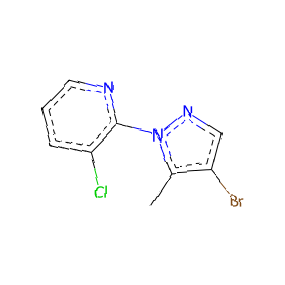 Cc1c(Br)cnn1-c1ncccc1Cl